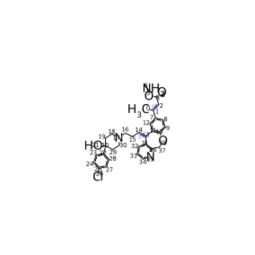 C/C(=C\C(=O)ON)c1ccc2c(c1)/C(=C/CCN1CCC(O)(c3ccc(Cl)cc3)CC1)c1cccnc1CO2